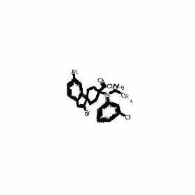 COC(=O)C1(N(C(=O)C(F)(F)F)c2cccc(Cl)c2)CCC2(CC1)C(Br)=Cc1ccc(C(C)=O)cc12